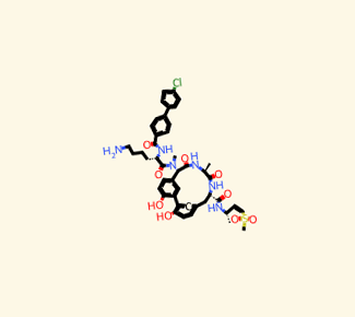 C[C@@H]1NC(=O)[C@@H](N(C)C(=O)[C@H](CCCCN)NC(=O)c2ccc(-c3ccc(Cl)cc3)cc2)c2ccc(O)c(c2)-c2cc(ccc2O)C[C@@H](C(=O)N[C@@H](C)/C=C\S(C)(=O)=O)NC1=O